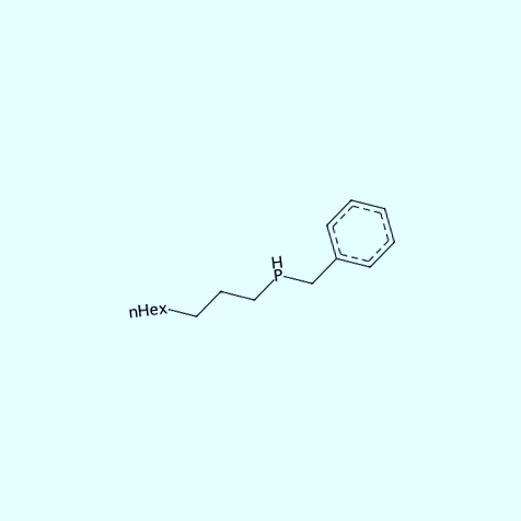 CCCCCCCCCPCc1ccccc1